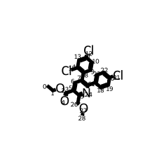 CCOC(=O)c1cc(-c2ccc(Cl)cc2Cl)c(-c2ccc(Cl)cc2)nc1COC